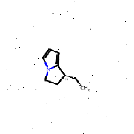 CC[C@H]1CCn2cccc21